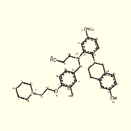 COc1ccc([C@@H]2CCc3cc(O)ccc3C2)c(N(CCO)Cc2ccc(OCCN3CCCCC3)c(F)c2)c1